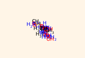 CCCC(=O)N[C@@H](CSCc1cccc(CSCCC(=O)NC(C(=O)NCC(=O)N[C@@H](Cc2cnc[nH]2)C(=O)N[C@H](C(=O)NCC(=O)N[C@@H](CCC)C(=O)NCC(=O)NCC(=O)N[C@@H](CCO)C(N)=O)[C@@H](C)O)C(C)(C)C)c1)C(N)=O